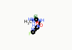 CC1Nc2c(Cl)cc3c(c2N1)OC(C(=O)N1CCC(C#N)(Cc2ccc(F)cc2)CC1)CN3